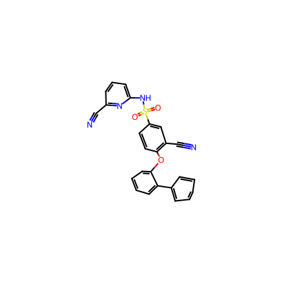 N#Cc1cccc(NS(=O)(=O)c2ccc(Oc3ccccc3-c3ccccc3)c(C#N)c2)n1